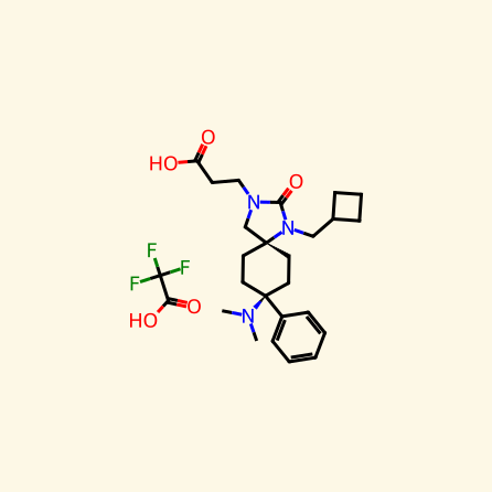 CN(C)[C@]1(c2ccccc2)CC[C@@]2(CC1)CN(CCC(=O)O)C(=O)N2CC1CCC1.O=C(O)C(F)(F)F